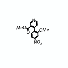 COC(=O)c1cnccc1-c1ccc([N+](=O)[O-])cc1OC